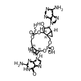 Nc1nc2c(ncn2[C@@H]2S[C@@H]3CO[P@@](=O)(S)O[C@H]4[C@@H](O)[C@H](n5cnc6c(N)ncnc65)[C@H]5C[C@]54COP(=O)(O)O[C@@H]2[C@@H]3O)c(=O)[nH]1